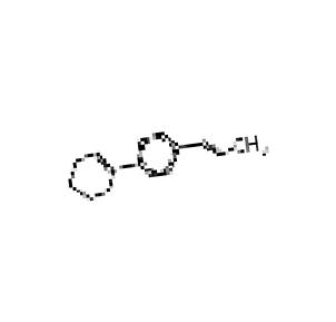 C[C]=Cc1ccc(C2=CCCCC2)cc1